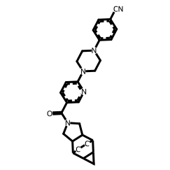 N#Cc1ccc(N2CCN(c3ccc(C(=O)N4CC5C6CCC(C7CC67)C5C4)cn3)CC2)cc1